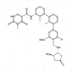 COc1cc(-c2cccc(-c3cccc(NC(=O)c4c[nH]c(=O)n(C)c4=O)c3C)c2C)cc(F)c1CN[C@@H]1CC(=O)C[C@H]1O